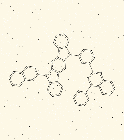 c1ccc(-c2nc(-c3cccc(-n4c5ccccc5c5cc6c(cc54)c4ccccc4n6-c4ccc5ccccc5c4)c3)nc3ccccc23)cc1